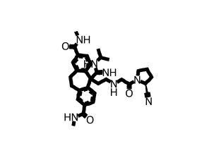 CNC(=O)c1ccc2c(c1)CCc1cc(C(=O)NC)ccc1C2(CCNCC(=O)N1CCC[C@H]1C#N)C(=N)NC(C)C